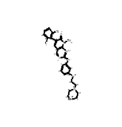 Cn1c(=O)c(-c2c(Cl)cccc2Cl)cc2cnc(Nc3cccc(OCCN4CCNCC4)c3)nc21